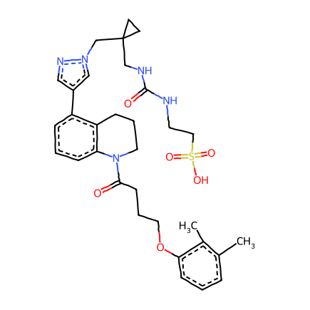 Cc1cccc(OCCCC(=O)N2CCCc3c(-c4cnn(CC5(CNC(=O)NCCS(=O)(=O)O)CC5)c4)cccc32)c1C